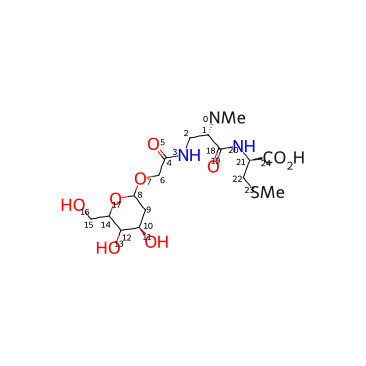 CN[C@@H](CNC(=O)COC1C[C@@H](O)C(O)C(CO)O1)C(=O)N[C@H](CSC)C(=O)O